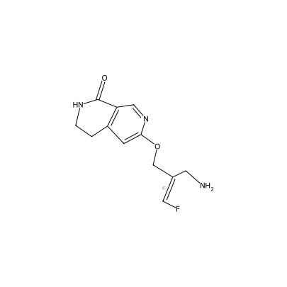 NC/C(=C\F)COc1cc2c(cn1)C(=O)NCC2